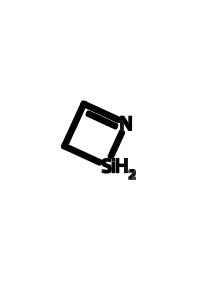 C1=N[SiH2]C1